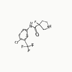 O=C(Nc1ccc(Cl)c(C(F)(F)F)c1)C1(F)CCNC1